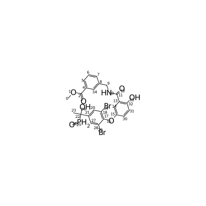 COC(=O)c1cccc(CNC(=O)c2cc(Oc3c(Br)cc(C(C)(O)[PH2]=O)cc3Br)ccc2O)c1